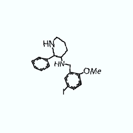 COc1ccc(I)cc1CNC1CCCNC1c1ccccc1